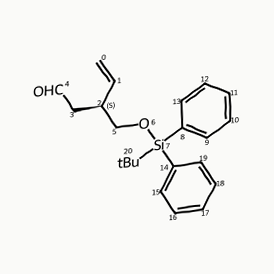 C=C[C@H](CC=O)CO[Si](c1ccccc1)(c1ccccc1)C(C)(C)C